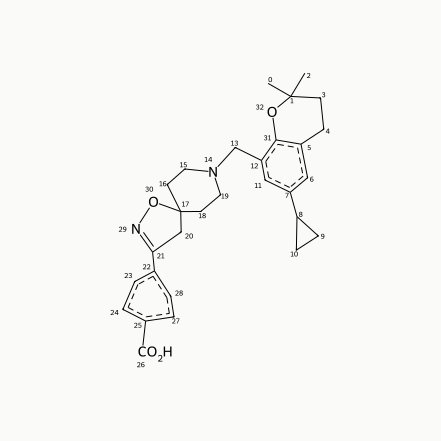 CC1(C)CCc2cc(C3CC3)cc(CN3CCC4(CC3)CC(c3ccc(C(=O)O)cc3)=NO4)c2O1